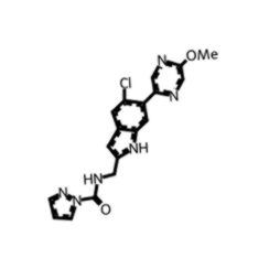 COc1cnc(-c2cc3[nH]c(CNC(=O)n4cccn4)cc3cc2Cl)cn1